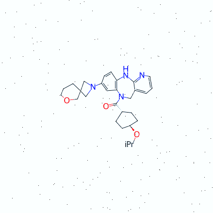 CC(C)O[C@H]1CC[C@H](C(=O)N2Cc3cccnc3Nc3ccc(N4CC5(CCCOC5)C4)cc32)CC1